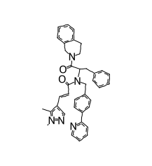 Cc1c(C=CC(=O)N(Cc2ccc(-c3ccccn3)cc2)C(Cc2ccccc2)C(=O)N2CCc3ccccc3C2)cnn1C